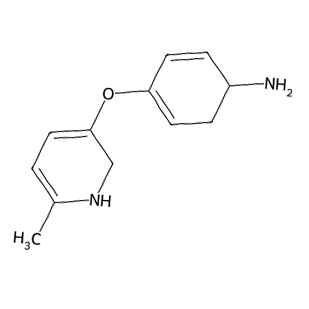 CC1=CC=C(OC2=CCC(N)C=C2)CN1